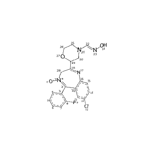 [O-][N+]1=C(c2ccccc2F)c2cc(Cl)ccc2N=C(C2CN(C=NO)CCO2)C1